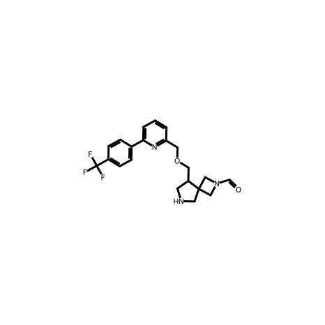 O=CN1CC2(CNCC2COCc2cccc(-c3ccc(C(F)(F)F)cc3)n2)C1